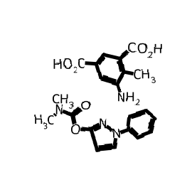 CN(C)C(=O)Oc1ccn(-c2ccccc2)n1.Cc1c(N)cc(C(=O)O)cc1C(=O)O